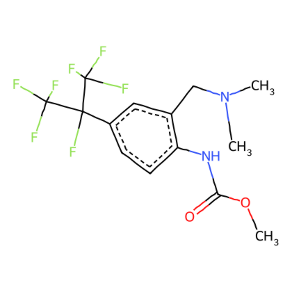 COC(=O)Nc1ccc(C(F)(C(F)(F)F)C(F)(F)F)cc1CN(C)C